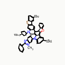 Cn1c(-c2ccccc2)nc2cc3c(cc21)-n1c2ccc(C(C)(C)C)cc2c2c4oc5ccccc5c4c4c(c21)B3N(c1ccc(C(C)(C)C)cc1)c1cc2sc3ccc(C(C)(C)C)cc3c2cc1-4